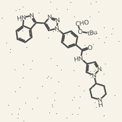 CC(C)(C)OC=O.O=C(Nc1cnn(C2CCNCC2)c1)c1ccc(-n2cc(-c3n[nH]c4ccccc34)nn2)cc1